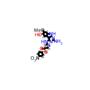 COc1cc2[nH]c3nc(N)nc(Nc4ncc(S(=O)(=O)c5ccc([N+](=O)[O-])cc5)s4)c3c2cc1O